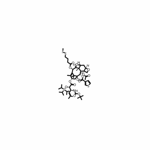 CSSCCCC(=O)O[C@@H]1C2=C(C)[C@@H](OC(=O)[C@H](O[Si](C(C)C)(C(C)C)C(C)C)[C@H](C=C(C)C)NC(=O)OC(C)(C)C)C[C@@](O)([C@@H](OC(=O)c3ccsc3)[C@@H]3[C@]4(OC(C)=O)CO[C@@H]4C[C@H]4O[C@@H]1[C@@]34C)C2(C)C